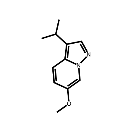 COc1ccc2c(C(C)C)cnn2c1